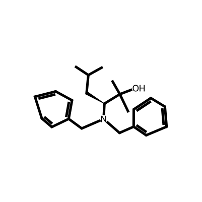 CC(C)C[C@H](N(Cc1ccccc1)Cc1ccccc1)C(C)(C)O